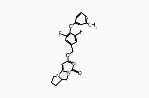 Cc1cc(Oc2c(F)cc(COc3cc4n(c(=O)n3)CC3CCCN43)cc2F)ccn1